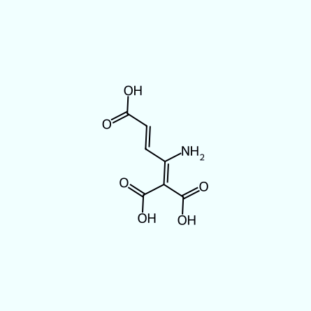 NC(/C=C/C(=O)O)=C(C(=O)O)C(=O)O